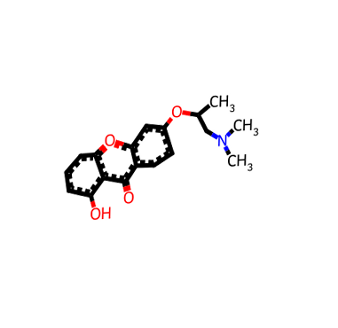 CC(CN(C)C)Oc1ccc2c(=O)c3c(O)cccc3oc2c1